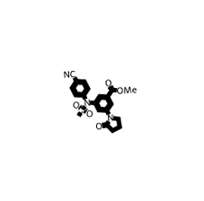 COC(=O)c1cc(N2CCCC2=O)cc(N(c2ccc(C#N)cc2)S(C)(=O)=O)c1